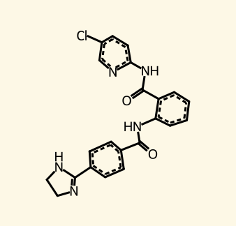 O=C(Nc1ccccc1C(=O)Nc1ccc(Cl)cn1)c1ccc(C2=NCCN2)cc1